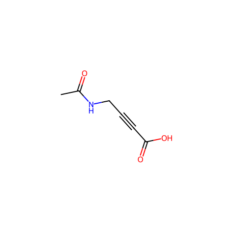 CC(=O)NCC#CC(=O)O